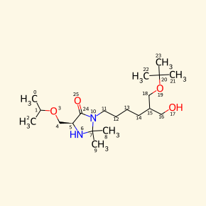 CC(C)OC[C@@H]1NC(C)(C)N(CCCCC(CO)COC(C)(C)C)C1=O